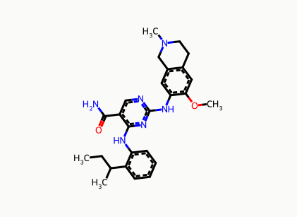 CCC(C)c1ccccc1Nc1nc(Nc2cc3c(cc2OC)CCN(C)C3)ncc1C(N)=O